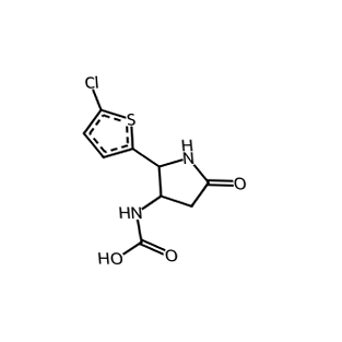 O=C(O)NC1CC(=O)NC1c1ccc(Cl)s1